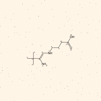 CC(C)(C)/C(N)=C/NCCCC(=O)O